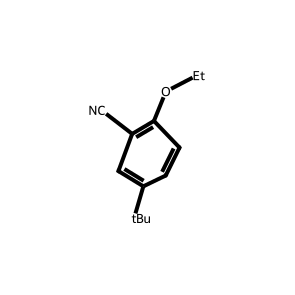 CCOc1ccc(C(C)(C)C)cc1C#N